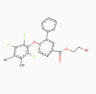 N#Cc1c(F)c(F)c(Oc2ccc(C(=O)OCCBr)cc2-c2ccccc2)c(F)c1C#N